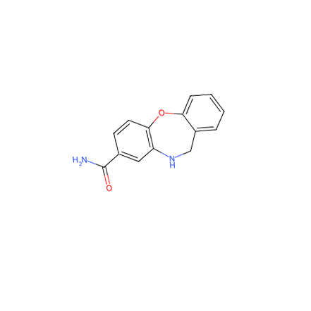 NC(=O)c1ccc2c(c1)NCc1ccccc1O2